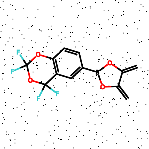 C=C1OB(c2ccc3c(c2)C(F)(F)OC(F)(F)O3)OC1=C